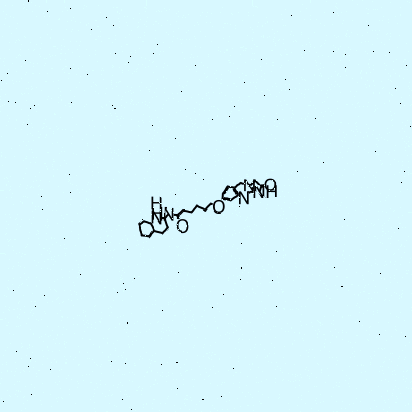 O=C1CN2Cc3ccc(OCCCCCC(=O)NC4CCC5CCCCC5N4)cc3N=C2N1